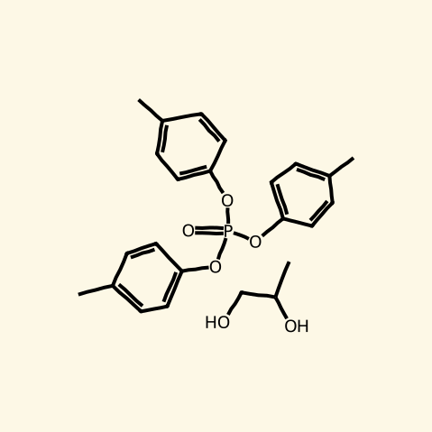 CC(O)CO.Cc1ccc(OP(=O)(Oc2ccc(C)cc2)Oc2ccc(C)cc2)cc1